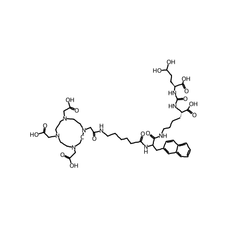 O=C(O)CN1CCN(CC(=O)O)CCN(CC(=O)NCCCCCC(=O)NC(Cc2ccc3ccccc3c2)C(=O)NCCCC[C@H](NC(=O)N[C@@H](CCC(O)O)C(=O)O)C(=O)O)CCN(CC(=O)O)CC1